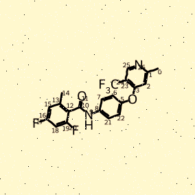 Cc1cc(Oc2ccc(NC(=O)c3c(C)cc(F)cc3F)cc2)c(C(F)(F)F)cn1